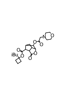 CCC(C)C1(OC(=O)C2C3CC4C(OC(=O)C42)C3OC(=O)CN2CCOCC2)CCC1